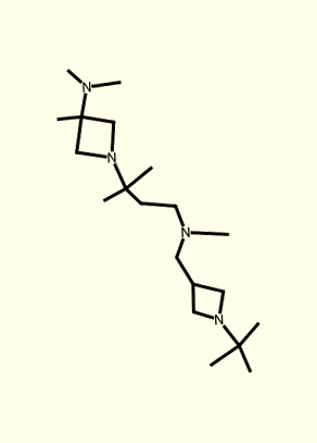 CN(CCC(C)(C)N1CC(C)(N(C)C)C1)CC1CN(C(C)(C)C)C1